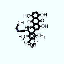 C#C/C=C\C#C[C@@H]1Nc2c(cc(O)c3c2C(=O)c2c(O)ccc(O)c2C3=O)[C@@]23O[C@@]12[C@@H](C)C(C(=O)O)=C(OC)[C@@H]3C